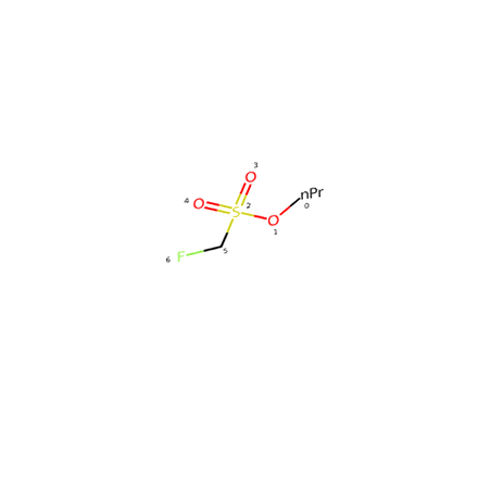 CCCOS(=O)(=O)CF